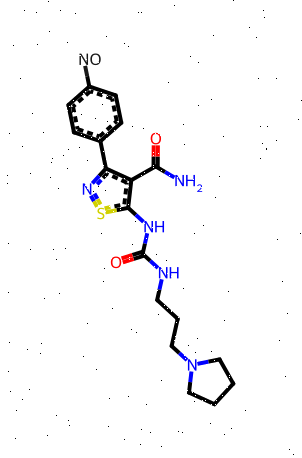 NC(=O)c1c(-c2ccc(N=O)cc2)nsc1NC(=O)NCCCN1CCCC1